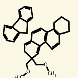 COCC1(COC)C=c2c(ccc3c4c(ccc23)CCCC4)=CC1.c1ccc2c(c1)Cc1ccccc1-2